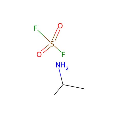 CC(C)N.O=S(=O)(F)F